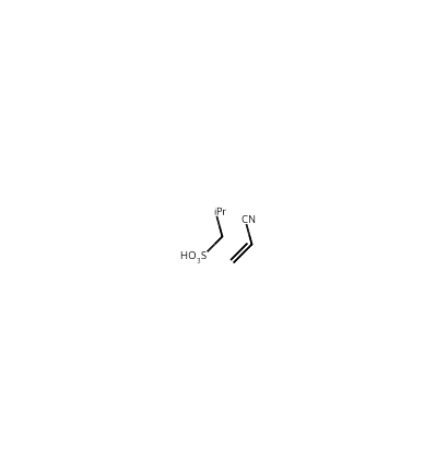 C=CC#N.CC(C)CS(=O)(=O)O